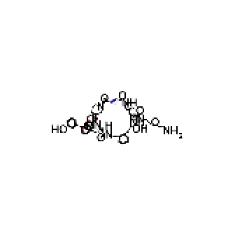 NCCOCCNC(=O)[C@@H]1CCNC(=O)/C=C/C(=O)N2CCC[C@](Cc3ccccc3)(C2)C(=O)N[C@@H](Cc2ccc(-c3cccc(O)c3)cc2)C(=O)NCc2ccccc2CC(O)N1